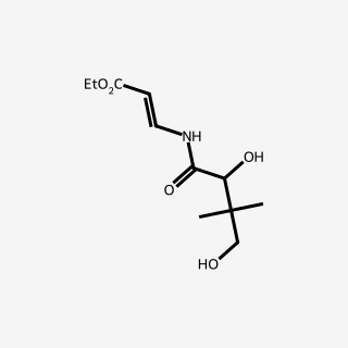 CCOC(=O)/C=C/NC(=O)C(O)C(C)(C)CO